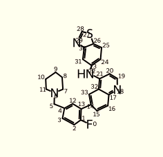 Fc1ccc(CN2CCCCC2)cc1-c1ccc2nccc(Nc3ccc4scnc4c3)c2c1